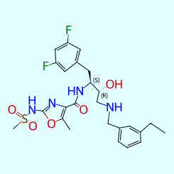 CCc1cccc(CNC[C@@H](O)[C@H](Cc2cc(F)cc(F)c2)NC(=O)c2nc(NS(C)(=O)=O)oc2C)c1